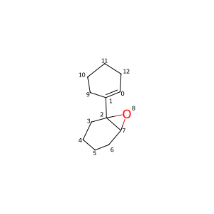 C1=C(C23CCCCC2O3)CCCC1